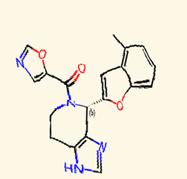 Cc1cccc2oc([C@@H]3c4nc[nH]c4CCN3C(=O)c3cnco3)cc12